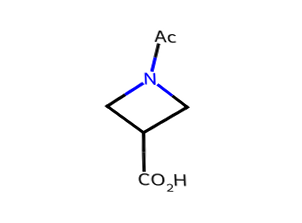 [CH2]C(=O)N1CC(C(=O)O)C1